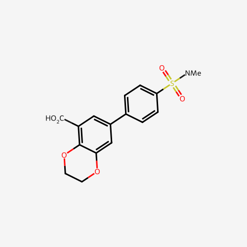 CNS(=O)(=O)c1ccc(-c2cc3c(c(C(=O)O)c2)OCCO3)cc1